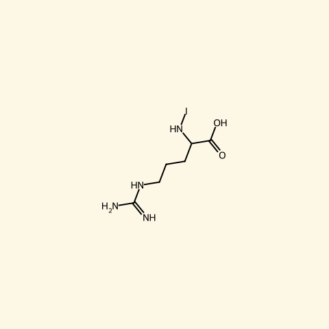 N=C(N)NCCCC(NI)C(=O)O